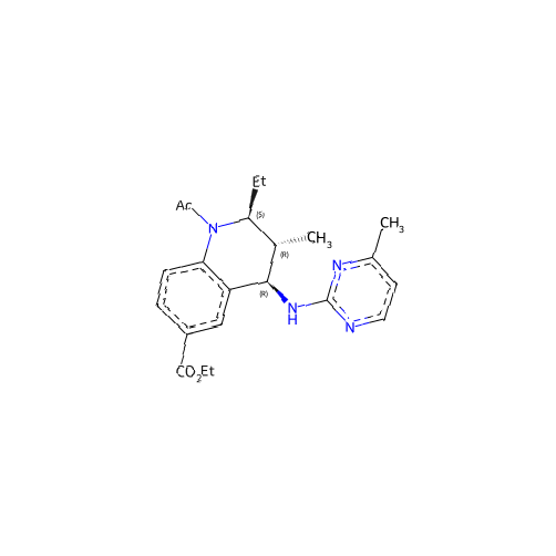 CCOC(=O)c1ccc2c(c1)[C@H](Nc1nccc(C)n1)[C@@H](C)[C@H](CC)N2C(C)=O